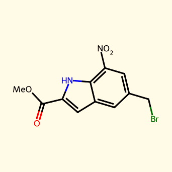 COC(=O)c1cc2cc(CBr)cc([N+](=O)[O-])c2[nH]1